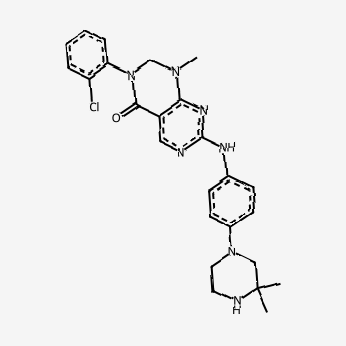 CN1CN(c2ccccc2Cl)C(=O)c2cnc(Nc3ccc(N4CCNC(C)(C)C4)cc3)nc21